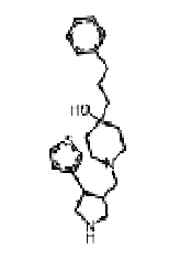 OC1(CCCc2ccccc2)CCN(CC2CNCC2c2ccsc2)CC1